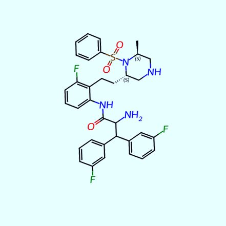 C[C@H]1CNC[C@H](CCc2c(F)cccc2NC(=O)C(N)C(c2cccc(F)c2)c2cccc(F)c2)N1S(=O)(=O)c1ccccc1